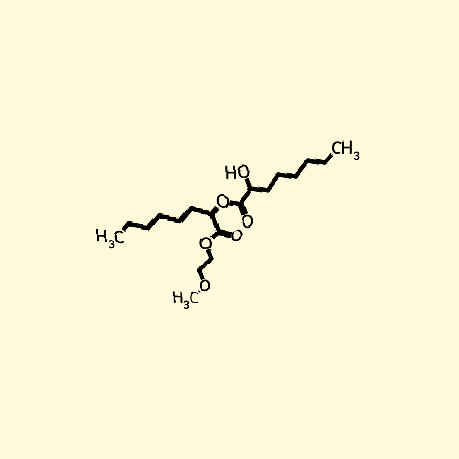 CCCCCCC(O)C(=O)OC(CCCCCC)C(=O)OCCOC